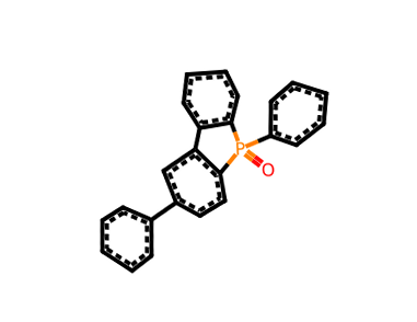 O=P1(c2ccccc2)c2ccccc2-c2cc(-c3ccccc3)ccc21